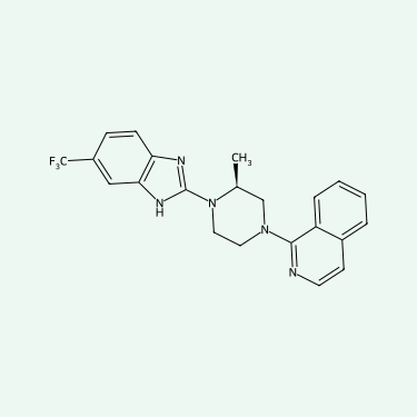 C[C@H]1CN(c2nccc3ccccc23)CCN1c1nc2ccc(C(F)(F)F)cc2[nH]1